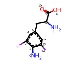 Nc1c(I)cc(CC(N)C(=O)O)cc1I